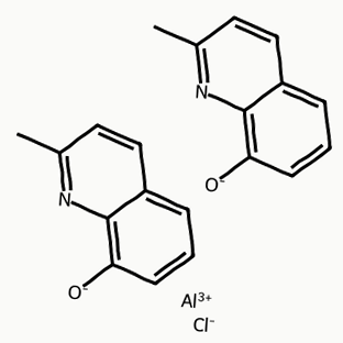 Cc1ccc2cccc([O-])c2n1.Cc1ccc2cccc([O-])c2n1.[Al+3].[Cl-]